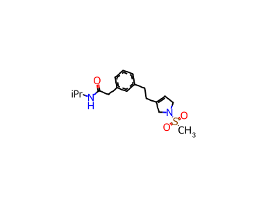 CC(C)NC(=O)Cc1cccc(CCC2=CCN(S(C)(=O)=O)C2)c1